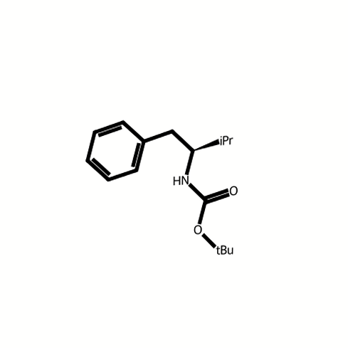 CC(C)[C@H](Cc1ccccc1)NC(=O)OC(C)(C)C